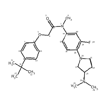 CN(C(=O)COc1ccc(C(C)(C)C)cc1)c1ccc(N2CCC(N(C)C)C2)c(F)c1